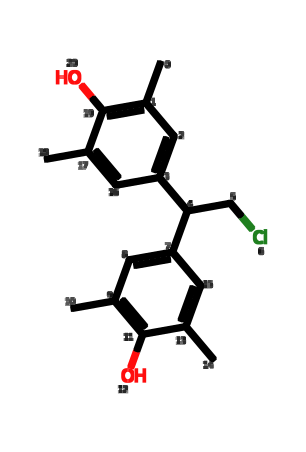 Cc1cc(C(CCl)c2cc(C)c(O)c(C)c2)cc(C)c1O